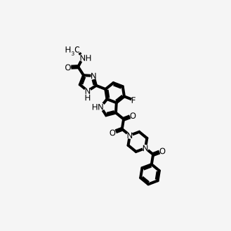 CNC(=O)c1c[nH]c(-c2ccc(F)c3c(C(=O)C(=O)N4CCN(C(=O)c5ccccc5)CC4)c[nH]c23)n1